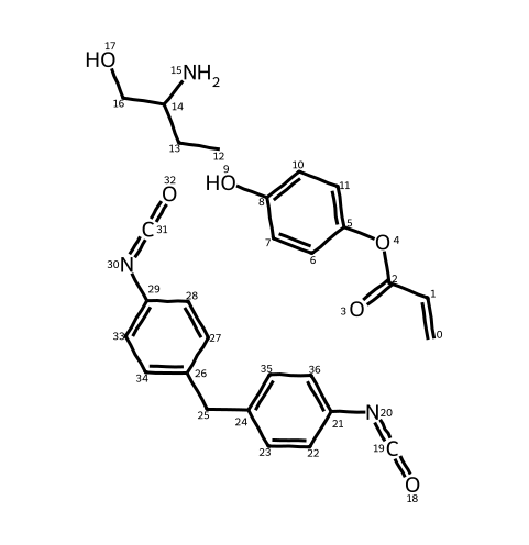 C=CC(=O)Oc1ccc(O)cc1.CCC(N)CO.O=C=Nc1ccc(Cc2ccc(N=C=O)cc2)cc1